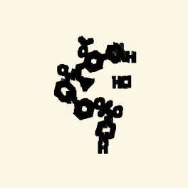 CC(C)Oc1cc(-c2cn[nH]c2)ccc1CN(C(=O)[C@@H]1CCCN(c2cccc(OC(C)(C)C(=O)N3CCNCC3)c2)C1)C1CC1.Cl